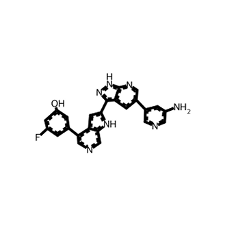 Nc1cncc(-c2cnc3[nH]nc(-c4cc5c(-c6cc(O)cc(F)c6)cncc5[nH]4)c3c2)c1